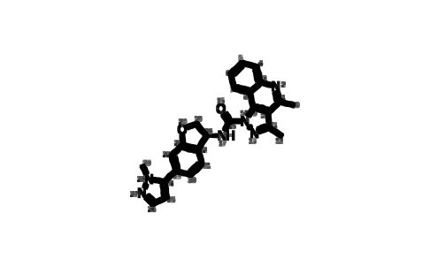 Cc1nc2ccccc2c2c1c(C)nn2C(=O)N[C@@H]1COc2cc(-c3ccnn3C)ccc21